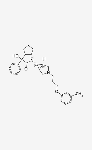 Cc1cccc(OCCCN2CC3[C@H](C2)[C@H]3NC(=O)C(O)(c2ccccc2)C2CCCC2)c1